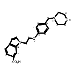 O=C(O)c1ccc2ccn(CCOc3ccc(CN4CCOCC4)cc3)c2c1